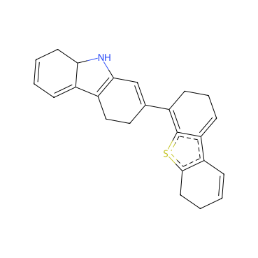 C1=CCC2NC3=C(CCC(C4=c5sc6c(c5=CCC4)C=CCC6)=C3)C2=C1